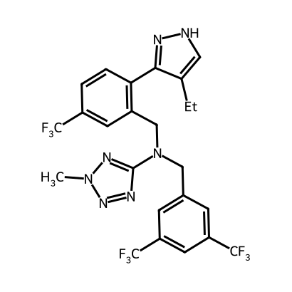 CCc1c[nH]nc1-c1ccc(C(F)(F)F)cc1CN(Cc1cc(C(F)(F)F)cc(C(F)(F)F)c1)c1nnn(C)n1